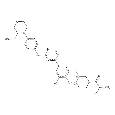 CC(O)C(=O)N1CC[C@H](Oc2ccc(-c3ncnc(Nc4ccc(N5CCOCC5CO)cc4)n3)cc2C#N)[C@H](F)C1